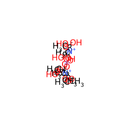 COc1cc(CC2c3c(cc(OC)c(OC)c3OC)CC[N+]2(C)CCCOC(=O)/C=C/C(=O)OCCC[N+]2(C)CCc3cc(CO)c(CO)c(OC)c3C2Cc2ccc(CO)c(CO)c2)cc(CO)c1OC